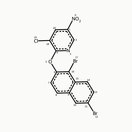 O=[N+]([O-])c1cnc(Oc2ccc3cc(Br)ccc3c2Br)c(Cl)c1